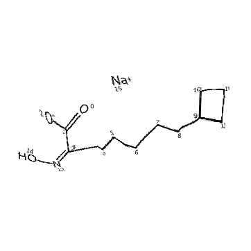 O=C([O-])/C(CCCCCC1CCC1)=N\O.[Na+]